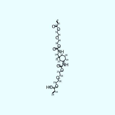 C=CC(=O)OCCOCCOC(=O)NCC1(C)CCCC(NC(=O)OCCOCCOC(O)C=C)C1